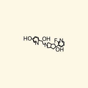 Oc1ccc(C(O)CN2CC3CC(O)(c4cccnc4F)CC3C2)nc1